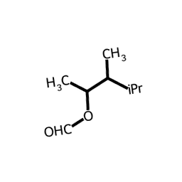 CC(C)C(C)C(C)OC=O